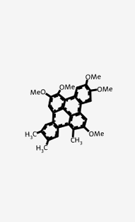 COc1cc2c(cc1OC)c1c(OC)c(OC)cc3c4cc(C)c(C)cc4c4c(C)c(OC)cc2c4c31